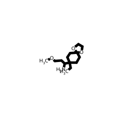 CCC1(C(N)CCOC)CCC2(CC1)OCCO2